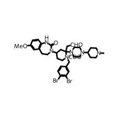 COc1ccc2c(c1)CCN(C1CC[N@+](Cc3ccc(Br)c(Br)c3)(C(=O)[O-])C(CC=O)(N3CCN(C4CCN(C)CC4)CC3)C1)C(=O)N2